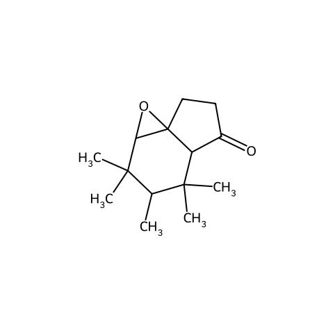 CC1C(C)(C)C2OC23CCC(=O)C3C1(C)C